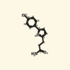 NC(=O)CCc1ccc(-c2ccc(Cl)cc2)o1